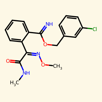 CNC(=O)/C(=N\OC)c1ccccc1C(=N)OCc1cccc(Cl)c1